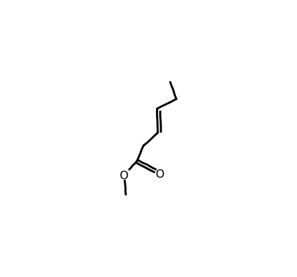 CCC=CCC(=O)OC